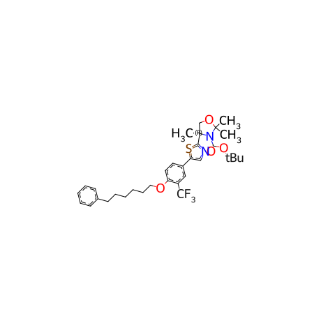 CC(C)(C)OC(=O)N1C(C)(C)OC[C@]1(C)c1ncc(-c2ccc(OCCCCCCc3ccccc3)c(C(F)(F)F)c2)s1